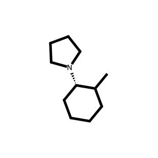 CC1CCCC[C@@H]1N1CCCC1